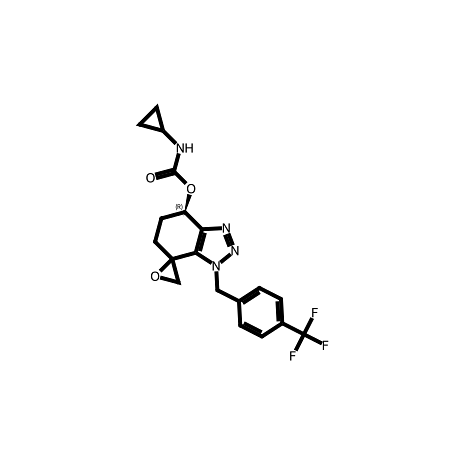 O=C(NC1CC1)O[C@@H]1CCC2(CO2)c2c1nnn2Cc1ccc(C(F)(F)F)cc1